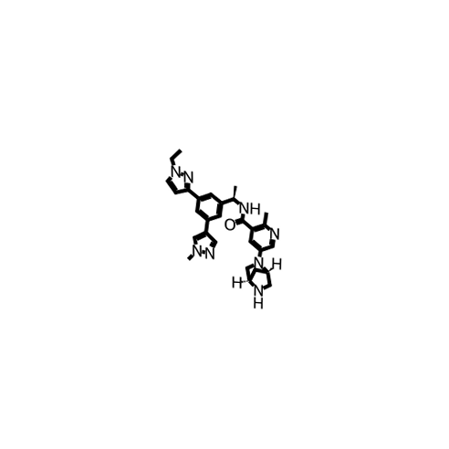 CCn1ccc(-c2cc(-c3cnn(C)c3)cc([C@@H](C)NC(=O)c3cc(N4C[C@H]5C[C@@H]4CN5)cnc3C)c2)n1